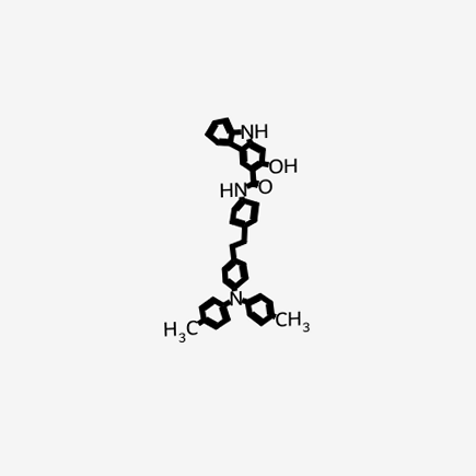 Cc1ccc(N(c2ccc(C)cc2)c2ccc(CCc3ccc(NC(=O)c4cc5c(cc4O)[nH]c4ccccc45)cc3)cc2)cc1